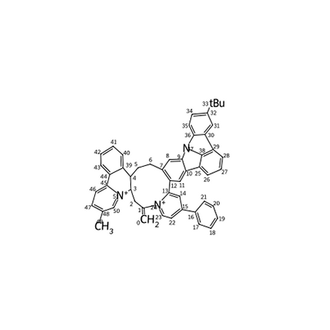 C=C1CC2C(CCc3cc4c(cc3-c3cc(-c5ccccc5)cc[n+]31)c1cccc3c5cc(C(C)(C)C)ccc5n4c31)c1ccccc1-c1ccc(C)c[n+]12